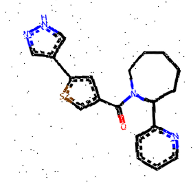 O=C(c1csc(-c2cn[nH]c2)c1)N1CCCCCC1c1ccccn1